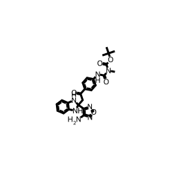 CN(C(=O)Nc1ccc(C(=O)CC2(c3nonc3N)Nc3ccccc3N2)cc1)C(=O)OC(C)(C)C